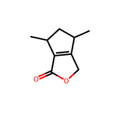 CC1CC(C)C2=C1COC2=O